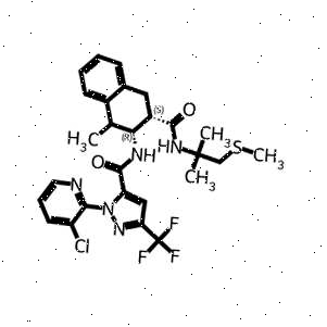 CSCC(C)(C)NC(=O)[C@H]1Cc2ccccc2C(C)[C@H]1NC(=O)c1cc(C(F)(F)F)nn1-c1ncccc1Cl